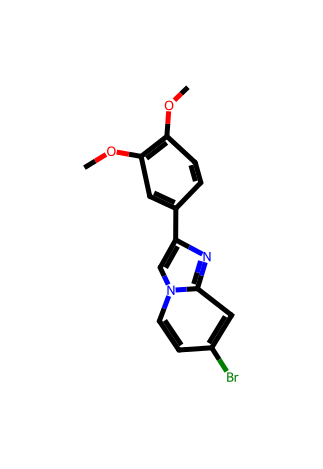 COc1ccc(-c2cn3ccc(Br)cc3n2)cc1OC